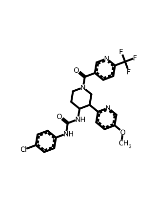 COc1ccc(C2CN(C(=O)c3ccc(C(F)(F)F)nc3)CCC2NC(=O)Nc2ccc(Cl)cc2)nc1